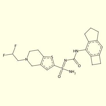 NS(=O)(=NC(=O)Nc1c2c(cc3c1CC3)CCC2)c1cc2c(s1)CCN(CC(F)F)C2